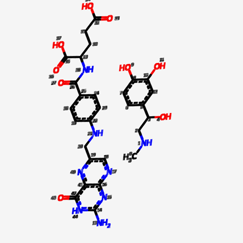 CNCC(O)c1ccc(O)c(O)c1.Nc1nc2ncc(CNc3ccc(C(=O)NC(CCC(=O)O)C(=O)O)cc3)nc2c(=O)[nH]1